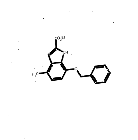 CCOC(=O)c1cc2c(C)ccc(OCc3ccccc3)c2[nH]1